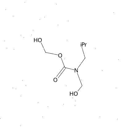 CC(C)CN(CO)C(=O)OCO